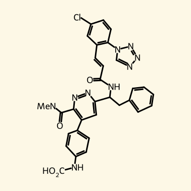 CNC(=O)c1nnc(C(Cc2ccccc2)NC(=O)C=Cc2cc(Cl)ccc2-n2cnnn2)cc1-c1ccc(NC(=O)O)cc1